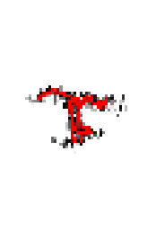 C=CS(=O)(=O)CCOC(=O)NCCOCCOCCNC(=O)C(CC(C)C(=O)NCCOCCOCCNC(=O)CN1CCN(CC(=O)O)CCN(CC(=O)O)CCN(CC(=O)O)CC1)CC(CC(CC(CC(C)C(=O)O)c1ccc2c(c1)Cc1ccc(C(CC(C)C(=O)O)CC(C)C(=O)O)cc1C2)C(=O)O)C(=O)NCCOCCOCCNC(=O)OCCS(=O)(=O)C=C